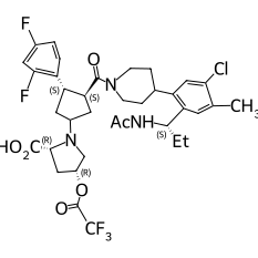 CC[C@H](NC(C)=O)c1cc(C)c(Cl)cc1C1CCN(C(=O)[C@H]2CC(N3C[C@H](OC(=O)C(F)(F)F)C[C@@H]3C(=O)O)C[C@@H]2c2ccc(F)cc2F)CC1